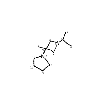 CC(C)N1CC(C)(N2CCCC2)C1